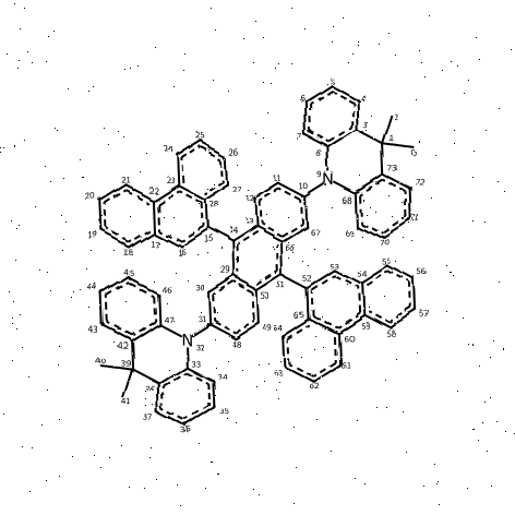 CC1(C)c2ccccc2N(c2ccc3c(-c4cc5ccccc5c5ccccc45)c4cc(N5c6ccccc6C(C)(C)c6ccccc65)ccc4c(-c4cc5ccccc5c5ccccc45)c3c2)c2ccccc21